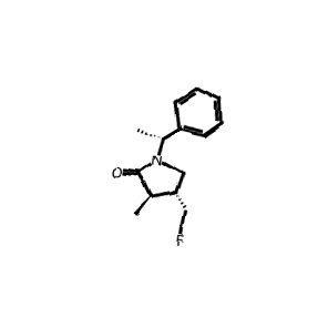 C[C@H](c1ccccc1)N1C[C@H](CF)[C@@H](C)C1=O